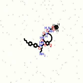 CCCCc1ccc(-c2ccc(C(=O)N[C@@H](CCCCN)C(=O)N(C)[C@@H]3C(=O)N[C@@H](C)C(=O)N[C@H](C(=O)N[C@@H](N)B4O[C@@H]5C[C@@H]6C[C@@H](C6(C)C)[C@]5(C)O4)CCCCCc4cc3ccc4OC)cc2)cc1